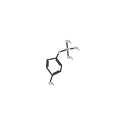 Cc1ccc(O[N+](C)(C)C)cc1